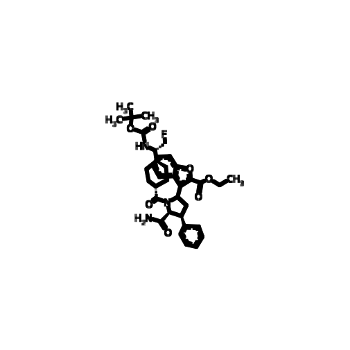 CCOC(=O)c1oc2ccccc2c1C1C[C@@H](c2ccccc2)[C@@H](C(N)=O)N1C(=O)[C@H]1CC[C@H]([C@@H](CF)NC(=O)OC(C)(C)C)CC1